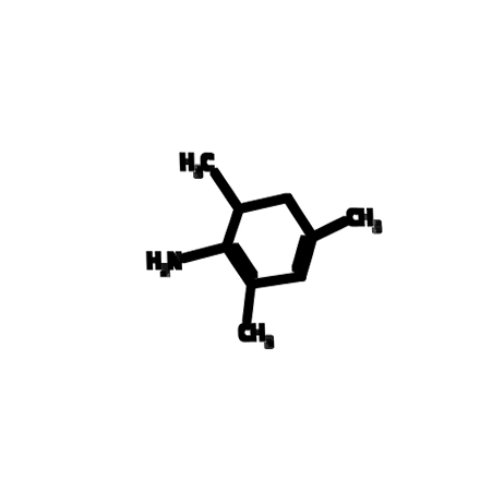 CC1=CC(C)=C(N)C(C)C1